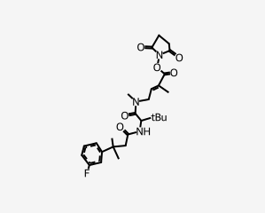 C/C(=C\CN(C)C(=O)C(NC(=O)CC(C)(C)c1cccc(F)c1)C(C)(C)C)C(=O)ON1C(=O)CCC1=O